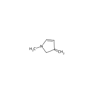 C=C1C=CN(C)C1